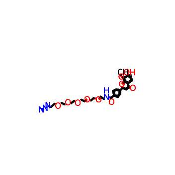 COc1c(O)ccc2c(=O)cc(-c3ccc(C(=O)NCCOCCOCCOCCOCCOCCN=[N+]=[N-])cc3)oc12